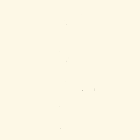 CN(CCc1ccccc1)C1CCN(Cc2ccc(Cl)nc2)CC1